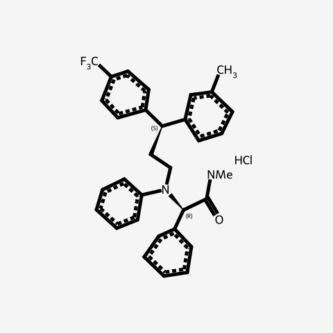 CNC(=O)[C@@H](c1ccccc1)N(CC[C@@H](c1ccc(C(F)(F)F)cc1)c1cccc(C)c1)c1ccccc1.Cl